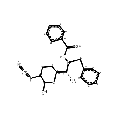 C[C@H]([C@@H]1CCC(N=[N+]=[N-])C(O)O1)N(Cc1ccccc1)OC(=O)c1ccccc1